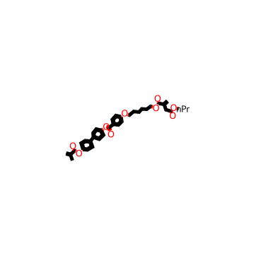 C=C(C)C(=O)Oc1ccc(-c2ccc(OC(=O)c3ccc(OCCCCCCOC(=O)C(=C)CC(=O)OCCC)cc3)cc2)cc1